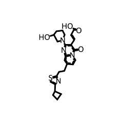 O=C(O)/C=C/c1c(N2CCCC(O)C2)nc2cc(CCc3nc(C4CCC4)cs3)ccn2c1=O